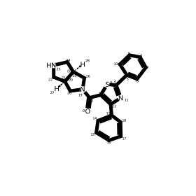 O=C(c1sc(-c2ccccc2)nc1-c1ccccc1)N1C[C@H]2CNC[C@H]2C1